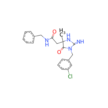 CC1(CC(=O)NCc2ccccc2)NC(=N)N(Cc2cccc(Cl)c2)C1=O